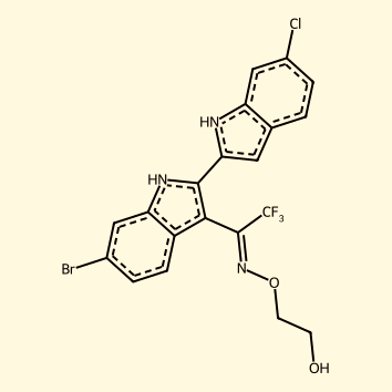 OCCON=C(c1c(-c2cc3ccc(Cl)cc3[nH]2)[nH]c2cc(Br)ccc12)C(F)(F)F